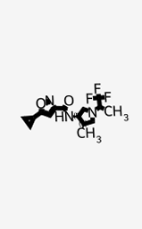 CC(N1C[C@H](NC(=O)c2cc(C3CC3)on2)[C@@H](C)C1)C(F)(F)F